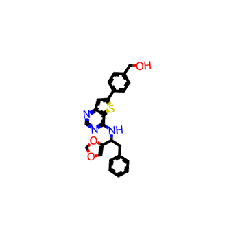 OCc1ccc(-c2cc3ncnc(NC(Cc4ccccc4)C4=COCO4)c3s2)cc1